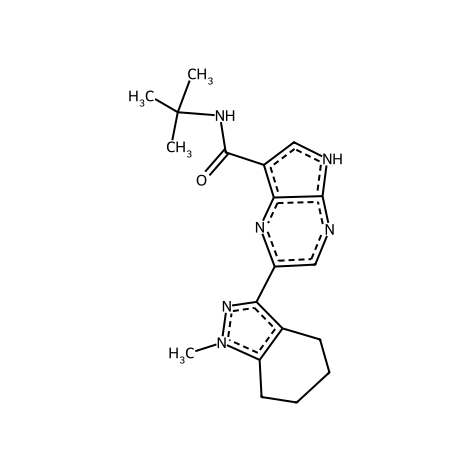 Cn1nc(-c2cnc3[nH]cc(C(=O)NC(C)(C)C)c3n2)c2c1CCCC2